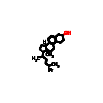 CC(C)[C@@H](C)/C=C/[C@@H](C)[C@H]1CC[C@H]2c3ccc4c(c3CC[C@]12C)CC[C@H](O)C4